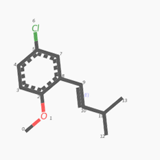 COc1ccc(Cl)cc1/C=C/C(C)C